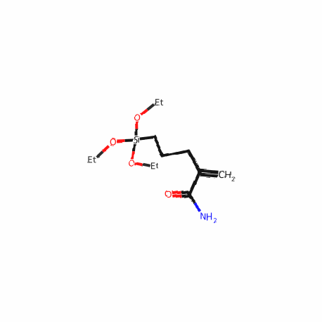 C=C(CCC[Si](OCC)(OCC)OCC)C(N)=O